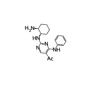 CC(=O)c1cnc(N[C@@H]2CCCC[C@@H]2N)nc1Nc1ccccc1